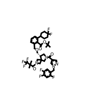 CC(C)(C)OC(=O)c1c(COC[C@@H]2CN(C(=O)c3cnn(Cc4cc(F)c(F)cc4F)c3)CC23CN(C(=O)C(C)(C)C(F)(F)F)C3)cccc1C1CCC(F)(F)CC1